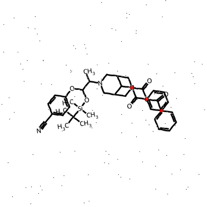 CC(C(Oc1ccc(C#N)cc1)O[Si](C)(C)C(C)(C)C)N1CC2CN(C(=O)OC(=O)c3ccccc3)CC(C1)C2OC(=O)c1ccccc1